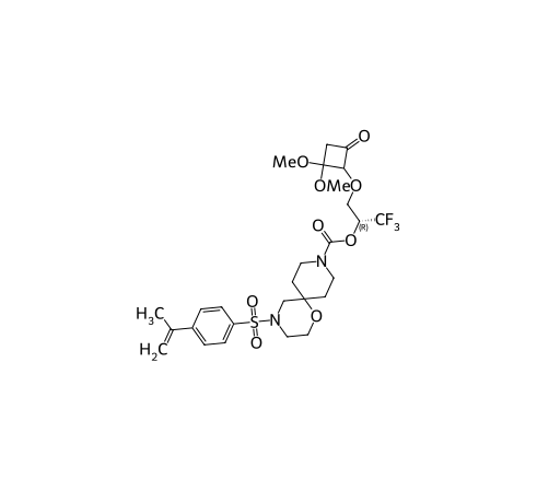 C=C(C)c1ccc(S(=O)(=O)N2CCOC3(CCN(C(=O)O[C@H](COC4C(=O)CC4(OC)OC)C(F)(F)F)CC3)C2)cc1